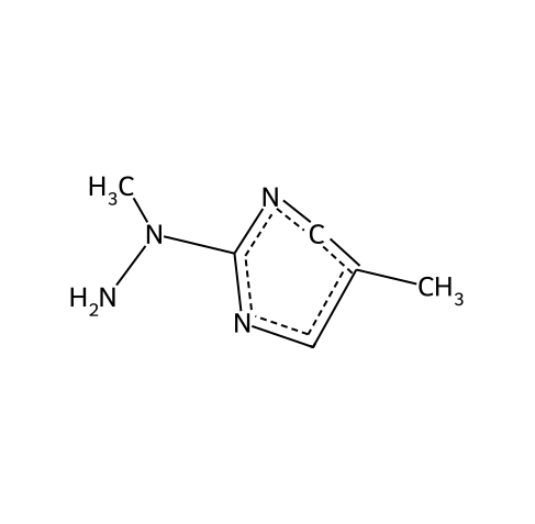 Cc1cnc(N(C)N)nc1